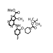 COC(=O)c1sc2ncnc(Nc3ccc(F)cc3O[C@H]3CCCN(C(=O)OC(C)(C)I)C3)c2c1C